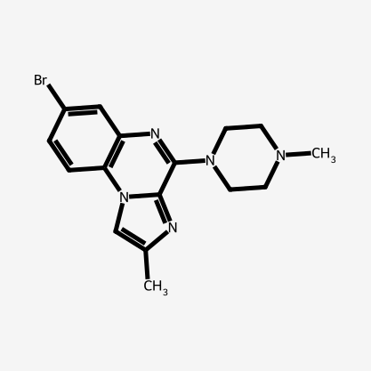 Cc1cn2c(n1)c(N1CCN(C)CC1)nc1cc(Br)ccc12